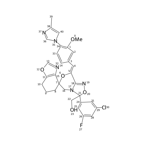 COc1cc(/C=C2\OC3(CCCc4ocnc43)CN3C2=NOC3(CO)c2cc(F)cc(Cl)c2)ccc1-n1cnc(C)c1